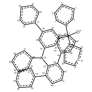 ClC(c1ccccc1)(c1ccccc1)c1cc(-c2ccccc2)cc(N(c2ccccc2)c2c(-c3ccccc3)cccc2-c2ccccc2)c1